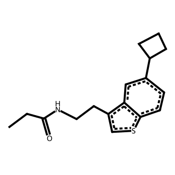 CCC(=O)NCCc1csc2ccc(C3CCC3)cc12